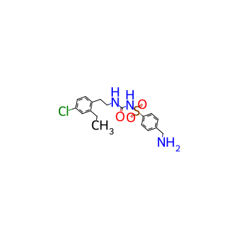 CCc1cc(Cl)ccc1CCNC(=O)NS(=O)(=O)c1ccc(CN)cc1